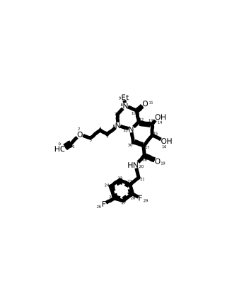 C#COCCCN1CN(CC)C(=O)C2=C(O)C(O)C(C(=O)NCc3ccc(F)cc3F)=CN21